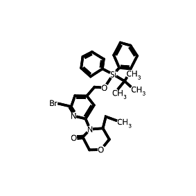 CCC1COCC(=O)N1c1cc(CO[Si](c2ccccc2)(c2ccccc2)C(C)(C)C)cc(Br)n1